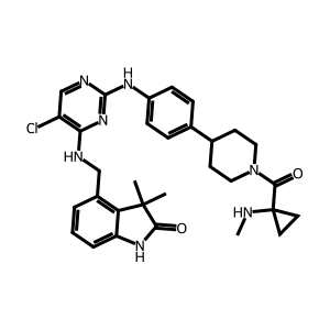 CNC1(C(=O)N2CCC(c3ccc(Nc4ncc(Cl)c(NCc5cccc6c5C(C)(C)C(=O)N6)n4)cc3)CC2)CC1